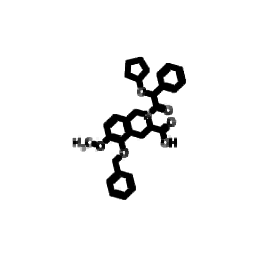 COc1ccc2c(c1OCc1ccccc1)CC(C(=O)O)N(C(=O)C(OC1CCCC1)c1ccccc1)C2